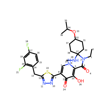 CCN(C(=O)c1[nH]cc(-c2nnc(Cc3ccc(F)cc3F)s2)c(=O)c1O)C1(NC)CCC(OC(C)C)CC1